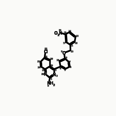 Nc1nc(-c2cccc(OCc3cccc([N+](=O)[O-])c3)c2)c2cc(Cl)ccc2n1